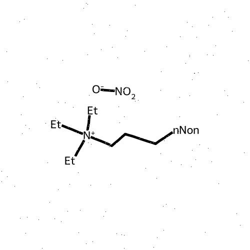 CCCCCCCCCCCC[N+](CC)(CC)CC.O=[N+]([O-])[O-]